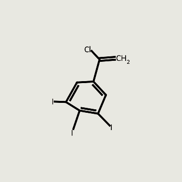 C=C(Cl)c1cc(I)c(I)c(I)c1